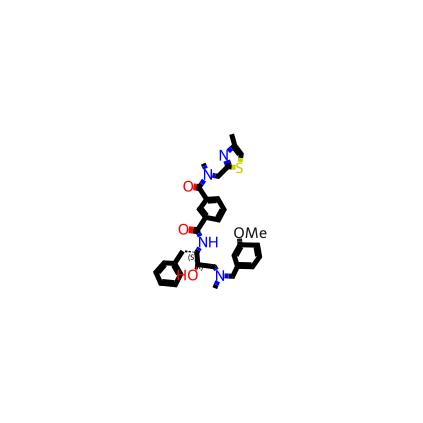 COc1cccc(CN(C)C[C@@H](O)[C@H](Cc2ccccc2)NC(=O)c2cccc(C(=O)N(C)Cc3nc(C)cs3)c2)c1